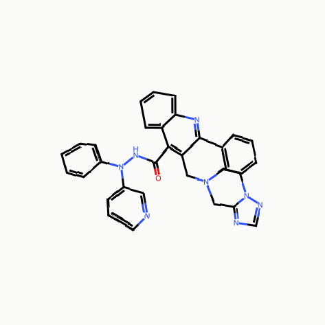 O=C(NN(c1ccccc1)c1cccnc1)c1c(CN2CCn3ncnc3C2)c(-c2ccccc2)nc2ccccc12